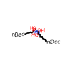 CCCCCCCCCCCCCCCC[C@@H](O)[C@@H](O)[C@H](CO)NC(=O)CCCCCCCCCCCCCCC